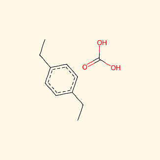 CCc1ccc(CC)cc1.O=C(O)O